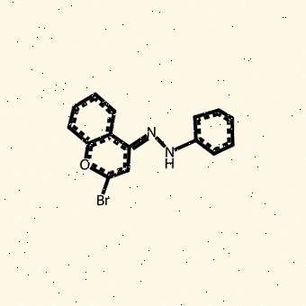 Brc1cc(=NNc2ccccc2)c2ccccc2o1